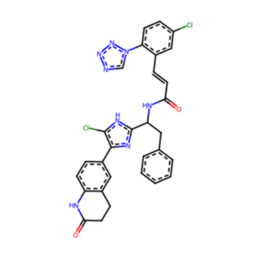 O=C(/C=C/c1cc(Cl)ccc1-n1cnnn1)NC(Cc1ccccc1)c1nc(-c2ccc3c(c2)CCC(=O)N3)c(Cl)[nH]1